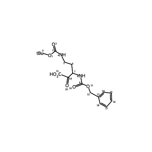 CC(C)(C)OC(=O)NCCC(NC(=O)OCc1ccccc1)C(=O)C(=O)O